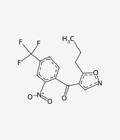 CCCc1oncc1C(=O)c1ccc(C(F)(F)F)cc1[N+](=O)[O-]